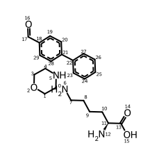 C1COCCN1.NCCCC[C@H](N)C(=O)O.O=Cc1ccc(-c2ccccc2)cc1